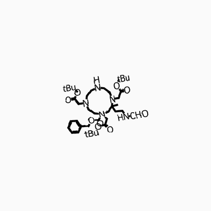 CC(C)(C)OC(=O)CN1CCNCCN(CC(=O)OC(C)(C)C)C(C)(CCNC=O)C[N+](CC(=O)OC(C)(C)C)(C(=O)OCc2ccccc2)CC1